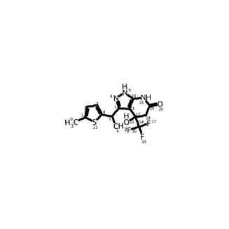 Cc1ccc(C(C)c2n[nH]c3c2C(O)(C(F)(F)F)CC(=O)N3)s1